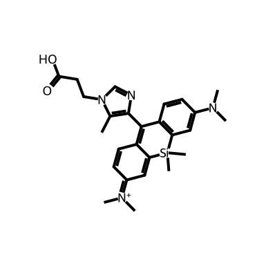 Cc1c(C2=C3C=CC(=[N+](C)C)C=C3[Si](C)(C)c3cc(N(C)C)ccc32)ncn1CCC(=O)O